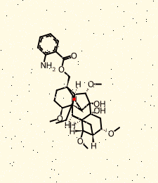 CCN1C[C@]2(COC(=O)c3ccccc3N)CC[C@H](OC)[C@]34C1[C@](O)([C@@H](OC)[C@H]23)[C@@]1(O)C[C@H](OC)[C@H]2C[C@@H]4[C@@H]1[C@H]2OC